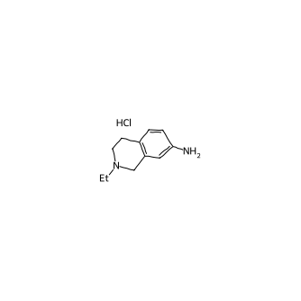 CCN1CCc2ccc(N)cc2C1.Cl